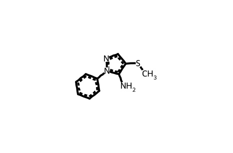 CSc1cnn(-c2ccccc2)c1N